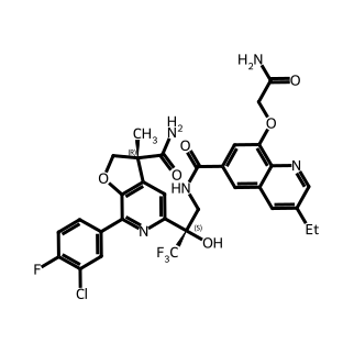 CCc1cnc2c(OCC(N)=O)cc(C(=O)NC[C@](O)(c3cc4c(c(-c5ccc(F)c(Cl)c5)n3)OC[C@]4(C)C(N)=O)C(F)(F)F)cc2c1